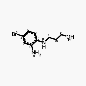 Nc1cc(Br)ccc1NCCCO